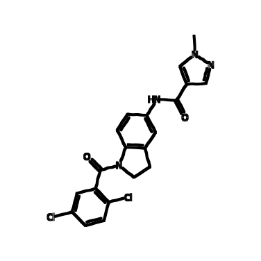 Cn1cc(C(=O)Nc2ccc3c(c2)CCN3C(=O)c2cc(Cl)ccc2Cl)cn1